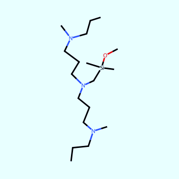 CCCN(C)CCCN(CCCN(C)CCC)C[Si](C)(C)OC